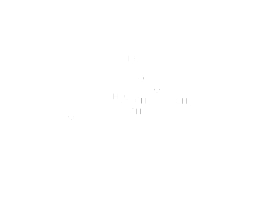 C=C.CCOC(C)OCC.O=Cc1ccccc1CCCCC1CCCCC1